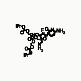 CC(C)OC(=O)OCOP(=O)(OCOC(=O)OC(C)C)OC[C@@]1(CN)O[C@@H](n2ccc(N)nc2=O)[C@H](F)[C@@H]1O